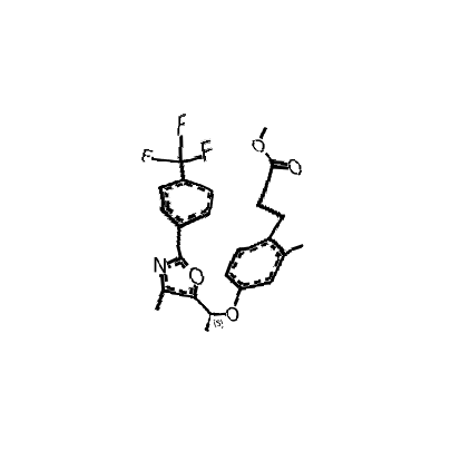 COC(=O)CCc1ccc(O[C@@H](C)c2oc(-c3ccc(C(F)(F)F)cc3)nc2C)cc1C